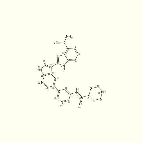 NC(=O)c1cccc2[nH]c(-c3n[nH]c4ncc(-c5cncc(NC(=O)C6CCNCC6)c5)cc34)cc12